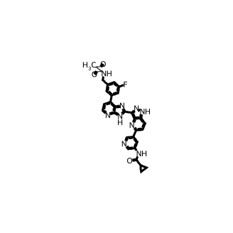 CS(=O)(=O)NCc1cc(F)cc(-c2ccnc3[nH]c(-c4n[nH]c5ccc(-c6cncc(NC(=O)C7CC7)c6)nc45)nc23)c1